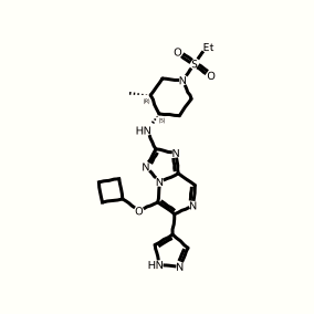 CCS(=O)(=O)N1CC[C@H](Nc2nc3cnc(-c4cn[nH]c4)c(OC4CCC4)n3n2)[C@H](C)C1